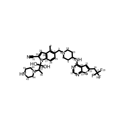 Cc1c(CN2CCC(Nc3ncnc4sc(CC(F)(F)F)cc34)CC2)ccc2c1cc(C#N)n2C(O)(O)C(C)N1CCNCC1